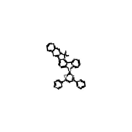 CC1(C)c2cc3ccccc3cc2-c2ccc3c(c21)c1ccccc1n3-c1nc(-c2ccccc2)cc(-c2ccccc2)n1